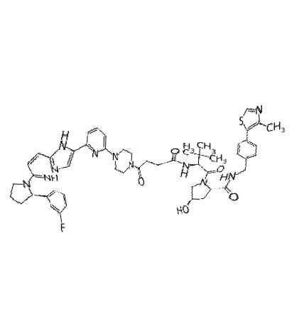 Cc1ncsc1-c1ccc(CNC(=O)[C@@H]2C[C@@H](O)CN2C(=O)[C@@H](NC(=O)CCC(=O)N2CCN(c3cccc(-c4cnc(/C=C\C(=N)N5CCC[C@@H]5c5cccc(F)c5)[nH]4)n3)CC2)C(C)(C)C)cc1